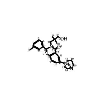 Cc1cccc(-c2nc3ccc(N4CCN5CCC4CC5)cc3c(=O)n2CC(C)(C)CO)c1